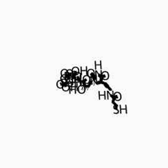 O=C(CCS)NCC#Cc1cn([C@@H]2C[C@H](O)[C@@H](COP(=O)(O)OP(=O)(O)OP(=O)(O)O)O2)c(=O)[nH]c1=O